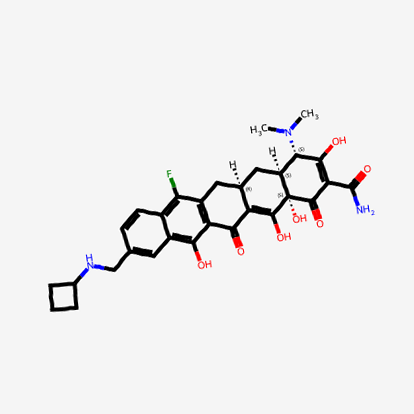 CN(C)[C@@H]1C(O)=C(C(N)=O)C(=O)[C@@]2(O)C(O)=C3C(=O)c4c(c(F)c5ccc(CNC6CCC6)cc5c4O)C[C@H]3C[C@@H]12